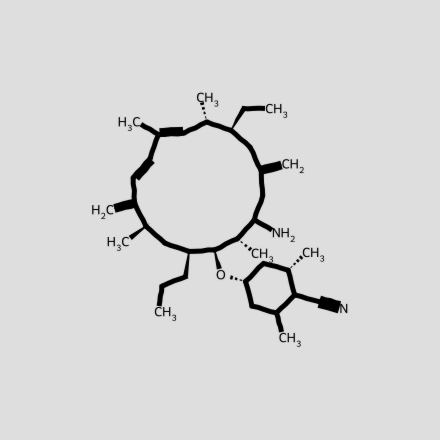 C=C1CC(N)[C@H](C)[C@@H](O[C@H]2CC(C)C(C#N)[C@@H](C)C2)[C@@H](CCC)C[C@@H](C)C(=C)/C=C/C(C)=C/[C@H](C)[C@@H](CC)C1